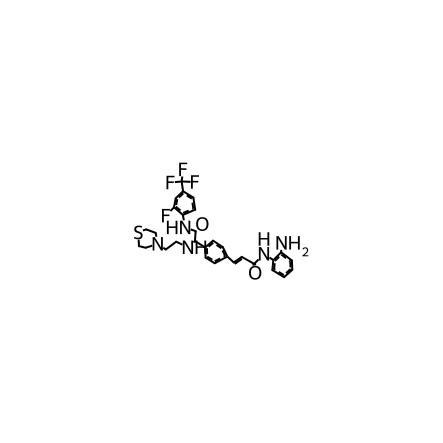 Nc1ccccc1NC(=O)/C=C/c1ccc(C(NCCN2CCSCC2)C(=O)Nc2ccc(C(F)(F)F)cc2F)cc1